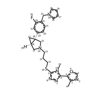 Cc1ncoc1-c1nnc(SCCCN2C[C@H]3C[C@@]3(c3ccc(Cn4cccc4)c(F)c3)C2)n1C